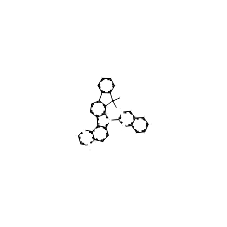 CC1(C)c2ccccc2-c2ccc3c4c5nccnc5ccc4n(-c4ncc5ccccc5n4)c3c21